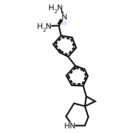 N/N=C(\N)c1ccc(-c2ccc(C3CC34CCNCC4)cc2)cc1